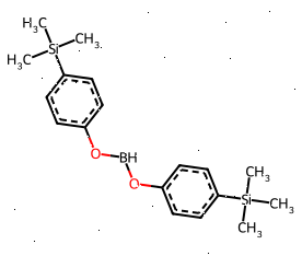 C[Si](C)(C)c1ccc(OBOc2ccc([Si](C)(C)C)cc2)cc1